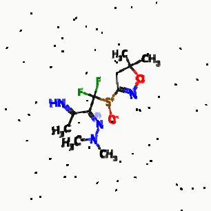 CC(=N)/C(=N\N(C)C)C(F)(F)[S+]([O-])C1=NOC(C)(C)C1